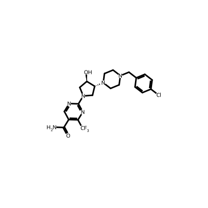 NC(=O)c1cnc(N2C[C@@H](O)[C@H](N3CCN(Cc4ccc(Cl)cc4)CC3)C2)nc1C(F)(F)F